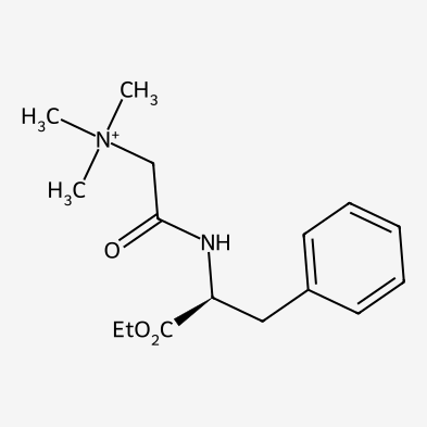 CCOC(=O)[C@H](Cc1ccccc1)NC(=O)C[N+](C)(C)C